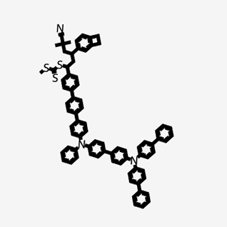 CSC(=S)SC(CC(CC(C)(C)C#N)c1ccc2c(c1)CC2)c1ccc(-c2ccc(-c3ccc(N(c4ccccc4)c4ccc(-c5ccc(N(c6ccc(-c7ccccc7)cc6)c6ccc(-c7ccccc7)cc6)cc5)cc4)cc3)cc2)cc1